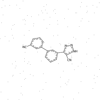 N#Cc1cccc(-c2cccc(-c3nn[nH]c3C#N)c2)c1